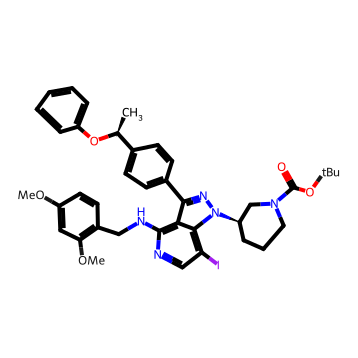 COc1ccc(CNc2ncc(I)c3c2c(-c2ccc([C@H](C)Oc4ccccc4)cc2)nn3[C@@H]2CCCN(C(=O)OC(C)(C)C)C2)c(OC)c1